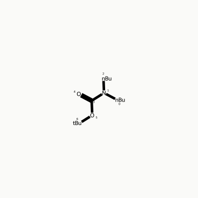 CCCCN(CCCC)C(=O)OC(C)(C)C